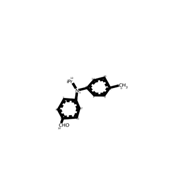 Cc1ccc(N(c2ccc(C=O)cc2)C(C)C)cc1